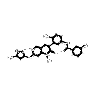 Cc1cc(Nc2cc3c(cn2)cc(-c2cc(NC(=O)c4cccc(C(F)(F)F)c4)ccc2C)c(=O)n3C)n[nH]1